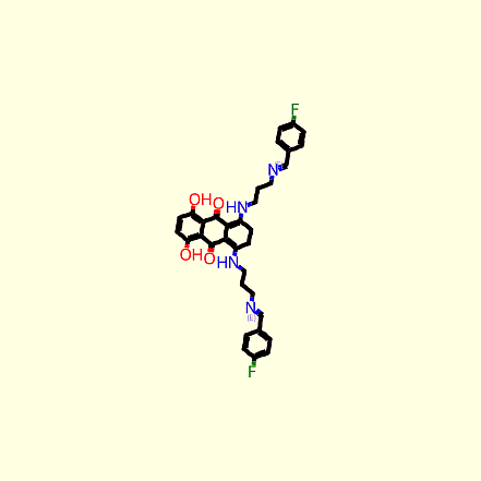 O=C1C2=C(NCCC/N=C/c3ccc(F)cc3)CCC(NCCC/N=C/c3ccc(F)cc3)=C2C(=O)c2c(O)ccc(O)c21